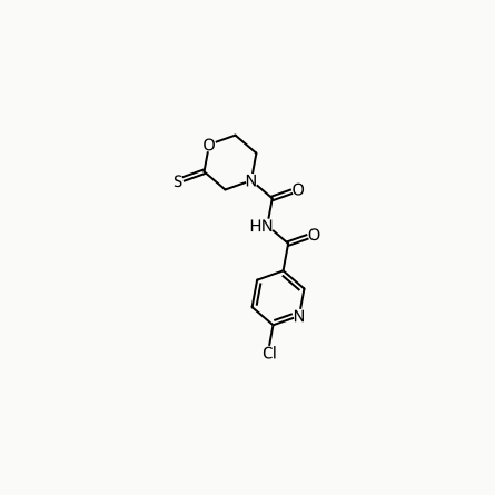 O=C(NC(=O)N1CCOC(=S)C1)c1ccc(Cl)nc1